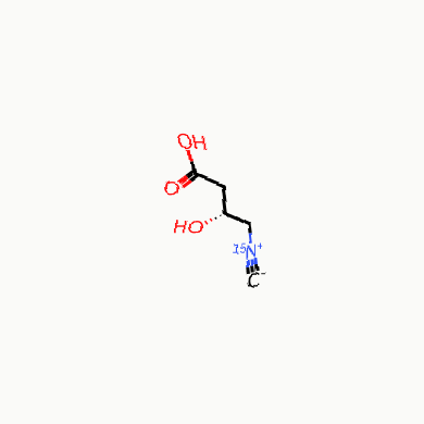 [C-]#[15N+]C[C@H](O)CC(=O)O